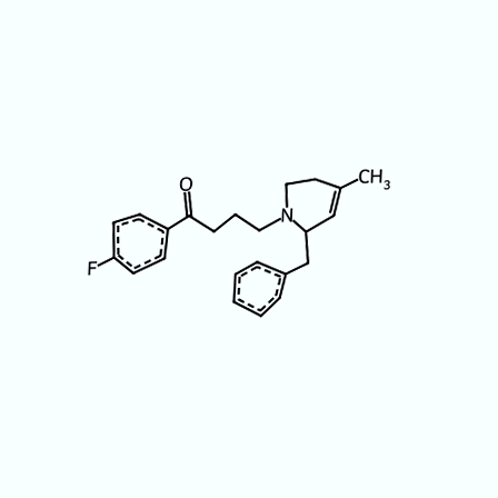 CC1=CC(Cc2ccccc2)N(CCCC(=O)c2ccc(F)cc2)CC1